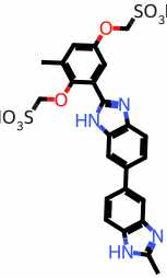 Cc1nc2cc(-c3ccc4nc(-c5cc(OCS(=O)(=O)O)cc(C)c5OCS(=O)(=O)O)[nH]c4c3)ccc2[nH]1